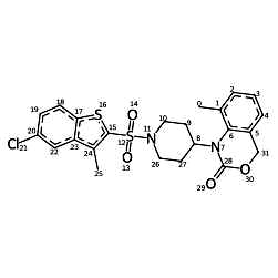 Cc1cccc2c1N(C1CCN(S(=O)(=O)c3sc4ccc(Cl)cc4c3C)CC1)C(=O)OC2